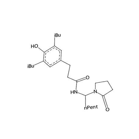 CCCCCC(NC(=O)CCc1cc(C(C)CC)c(O)c(C(C)CC)c1)N1CCCC1=O